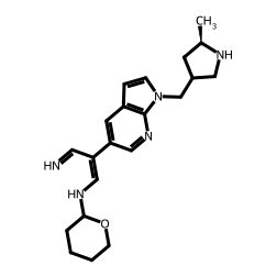 C[C@@H]1CC(Cn2ccc3cc(/C(C=N)=C/NC4CCCCO4)cnc32)CN1